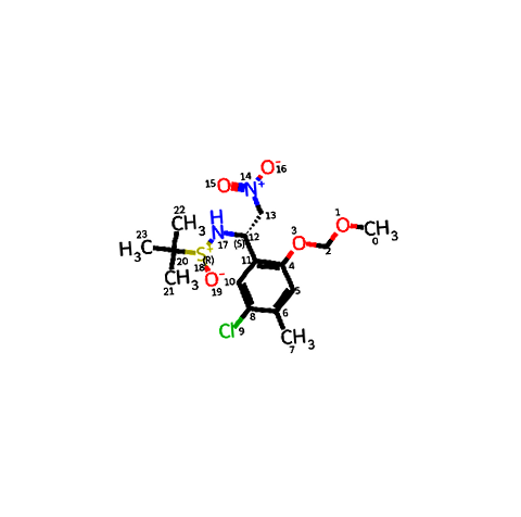 COCOc1cc(C)c(Cl)cc1[C@@H](C[N+](=O)[O-])N[S@@+]([O-])C(C)(C)C